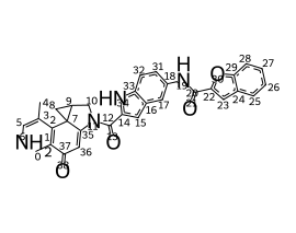 CC1=C(/C(C)=C\N)C23CC2CN(C(=O)c2cc4cc(NC(=O)c5cc6ccccc6o5)ccc4[nH]2)C3=CC1=O